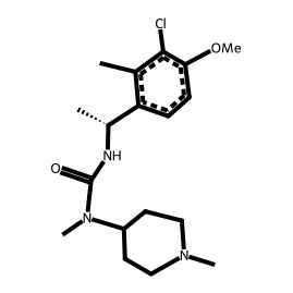 COc1ccc([C@@H](C)NC(=O)N(C)C2CCN(C)CC2)c(C)c1Cl